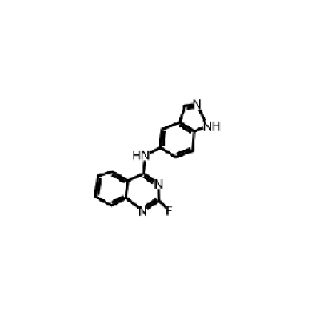 Fc1nc(Nc2ccc3[nH]ncc3c2)c2ccccc2n1